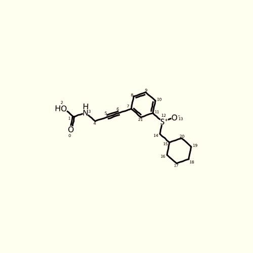 O=C(O)NCC#Cc1cccc([S+]([O-])CC2CCCCC2)c1